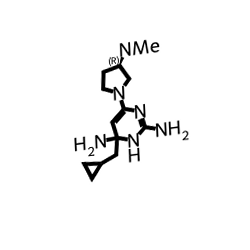 CN[C@@H]1CCN(C2=CC(N)(CC3CC3)NC(N)=N2)C1